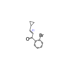 O=C(/C=C/C1CC1)c1ccccc1Br